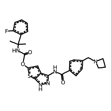 CC(C)(NC(=O)Oc1cc2c(NC(=O)c3ccc(CN4CCC4)cc3)n[nH]c2s1)c1ccccc1F